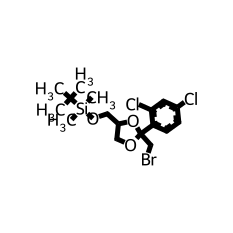 CC(C)(C)[Si](C)(C)OCC1COC(CBr)(c2ccc(Cl)cc2Cl)O1